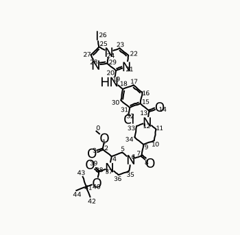 COC(=O)C1CN(C(=O)C2CCN(C(=O)c3ccc(Nc4nccn5c(I)cnc45)cc3Cl)CC2)CCN1C(=O)OC(C)(C)C